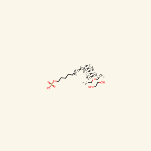 C=C.C=C.C=C.C=C.C=C.C=C.CCCCCCOS(=O)(=O)O.CCOCC.OCCO